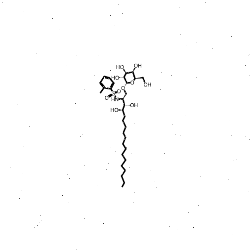 CCCCCCCCCCCCCC[C@@H](O)[C@@H](O)[C@H](CO[C@H]1O[C@H](CO)[C@H](O)[C@H](O)[C@H]1O)NS(=O)(=O)c1ccccc1C